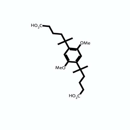 COc1cc(C(C)(C)CCCC(=O)O)c(OC)cc1C(C)(C)CCCC(=O)O